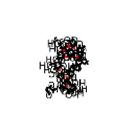 COC(C(=O)NCCN1C(=O)C=CC1=O)C(O)C(OC1OCC(O)C(O)C1O)C(OC1OC(CO)C(O)C(O)C1O)O[C@H]1CC[C@@]2(C)C(CC[C@]3(C)C2CC=C2C4CC(C)(C)CC[C@]4(C(=O)OC4OC(C)C(OC5OC(C)C(OC(C)=O)C(OC6OCC(O)C(O)C6O)C5O)C(O)C4OC4OC(C)C(OC5OCC(O)C(OC6OC(CO)C(O)C(O)C6O)C5O)C(O)C4O)[C@H](O)C[C@]23C)[C@]1(C)C=O